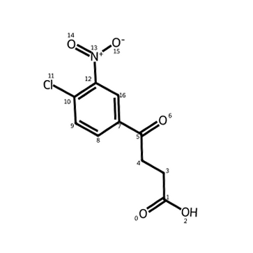 O=C(O)CCC(=O)c1ccc(Cl)c([N+](=O)[O-])c1